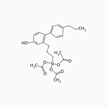 CCCc1ccc(-c2ccc(O)cc2CCC[Si](OC(C)=O)(OC(C)=O)OC(C)=O)cc1